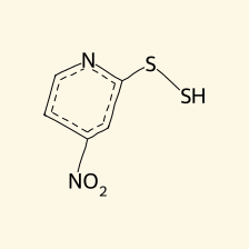 O=[N+]([O-])c1ccnc(SS)c1